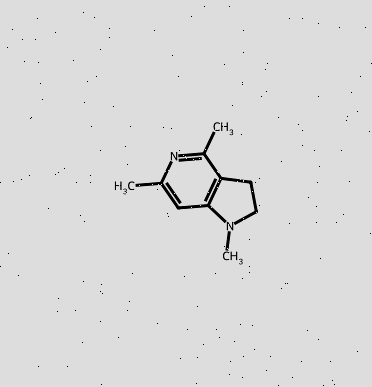 Cc1cc2c(c(C)n1)CCN2C